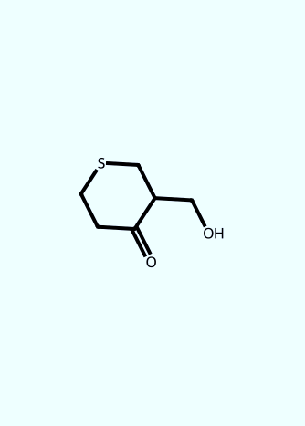 O=C1CCSCC1CO